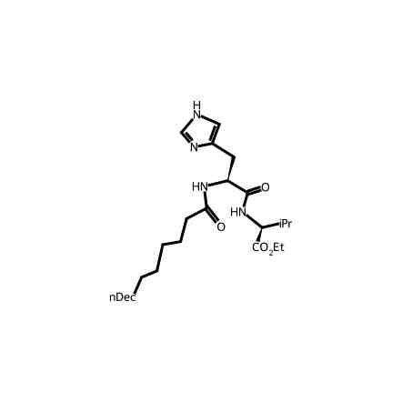 CCCCCCCCCCCCCCCC(=O)N[C@@H](Cc1c[nH]cn1)C(=O)N[C@H](C(=O)OCC)C(C)C